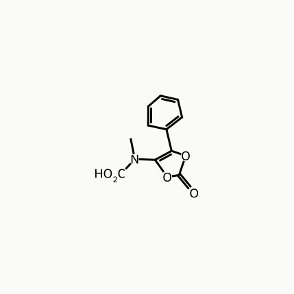 CN(C(=O)O)c1oc(=O)oc1-c1ccccc1